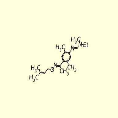 CCN(C)C=Nc1cc(C)c(/C(C)=N/OCC=C(C)C)cc1C